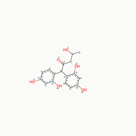 CC(O)CC(=O)C(c1ccc(O)cc1O)c1ccc(O)cc1O